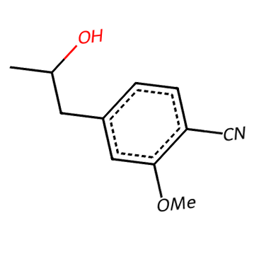 COc1cc(CC(C)O)ccc1C#N